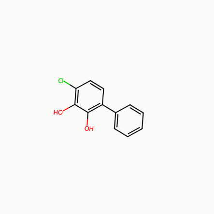 Oc1c(Cl)ccc(-c2ccccc2)c1O